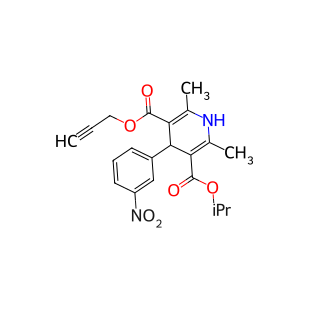 C#CCOC(=O)C1=C(C)NC(C)=C(C(=O)OC(C)C)C1c1cccc([N+](=O)[O-])c1